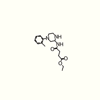 CCOC(=O)CCC(=O)NC1CN(c2ccccc2C)CCN1